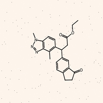 CCOC(=O)CC(c1ccc2c(c1)C(=O)CC2)c1ccc2c(nnn2C)c1C